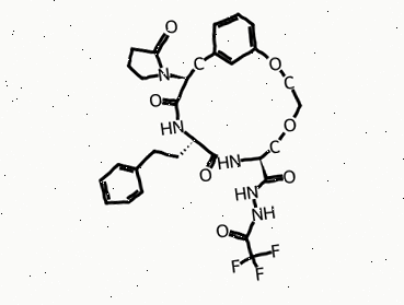 O=C(NNC(=O)C(F)(F)F)[C@@H]1COCCOc2cccc(c2)C[C@H](N2CCCC2=O)C(=O)N[C@@H](CCc2ccccc2)C(=O)N1